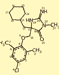 Cc1cc(Cl)cc(C)c1OCC1(CC2CCCCC2)NC(=N)N(C)C1=O